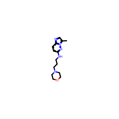 Cc1cnc2ccc(NCCCN3CCOCC3)nn12